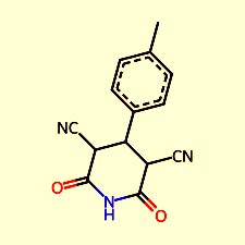 Cc1ccc(C2C(C#N)C(=O)NC(=O)C2C#N)cc1